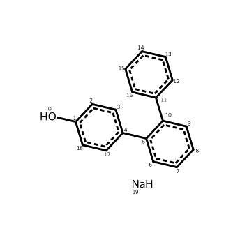 Oc1ccc(-c2ccccc2-c2ccccc2)cc1.[NaH]